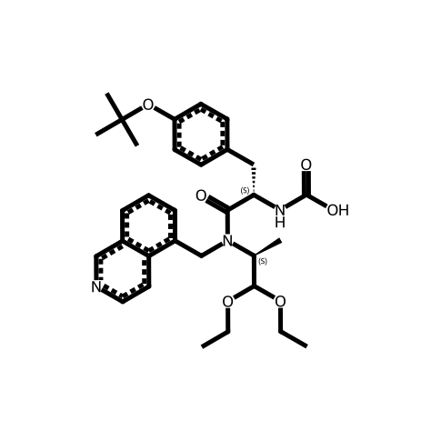 CCOC(OCC)[C@H](C)N(Cc1cccc2cnccc12)C(=O)[C@H](Cc1ccc(OC(C)(C)C)cc1)NC(=O)O